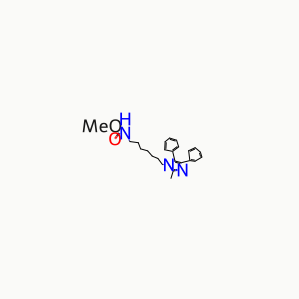 COC(=O)NCCCCCCCn1c(C)nc(-c2ccccc2)c1-c1ccccc1